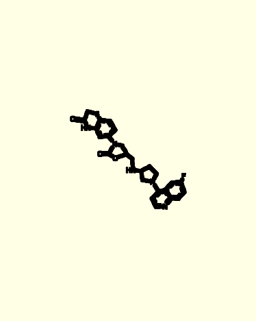 O=C1CSc2ccc(N3CC(CNC4CCN(c5ccnc6ccc(F)cc56)C4)OC3=O)cc2N1